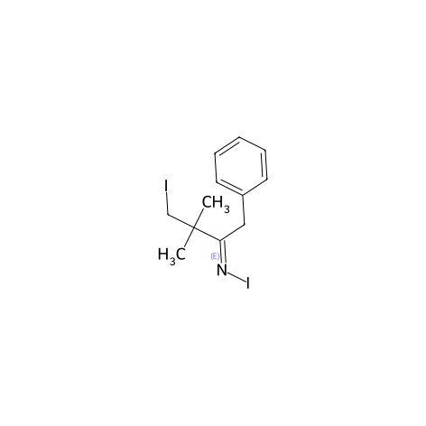 CC(C)(CI)/C(Cc1ccccc1)=N/I